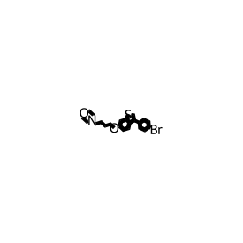 Brc1ccc(-c2csc3cc(OCCCCN4CCOCC4)ccc23)cc1